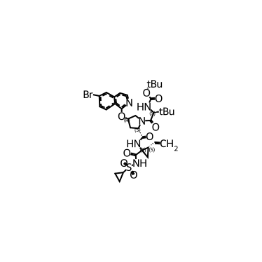 C=C[C@@H]1C[C@]1(NC(=O)[C@@H]1C[C@@H](Oc2nccc3cc(Br)ccc23)CN1C(=O)[C@@H](NC(=O)OC(C)(C)C)C(C)(C)C)C(=O)NS(=O)(=O)C1CC1